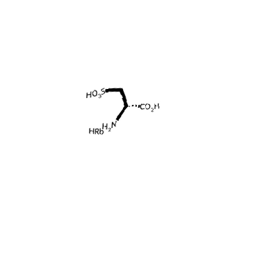 N[C@H](CS(=O)(=O)O)C(=O)O.[RbH]